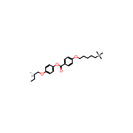 CC[C@H](C)COc1ccc(OC(=O)c2ccc(OCCCCC[Si](C)(C)C)cc2)cc1